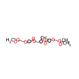 C=CC(=O)OCCCCOc1ccc(C(=O)OCCc2ccc(OC(=O)c3ccc(OCCCOC(=O)C(=C)C)cc3)c(C)c2)cc1